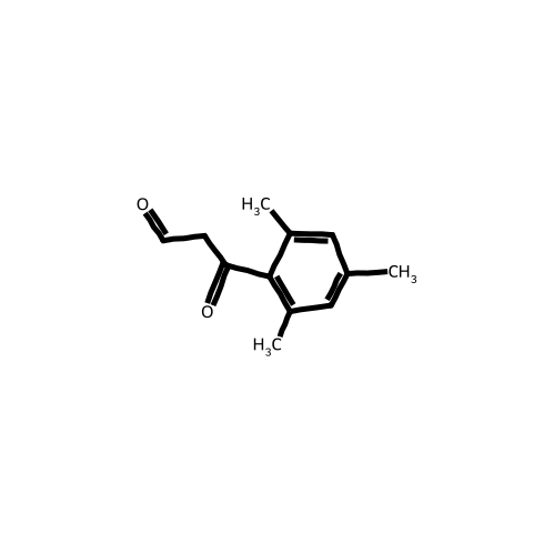 Cc1cc(C)c(C(=O)CC=O)c(C)c1